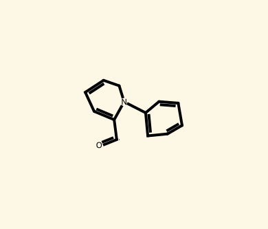 O=[C]C1=CC=CCN1c1ccccc1